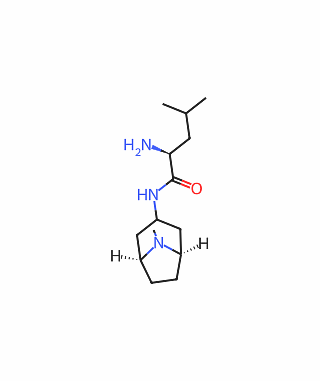 CC(C)C[C@H](N)C(=O)NC1C[C@H]2CC[C@@H](C1)N2C